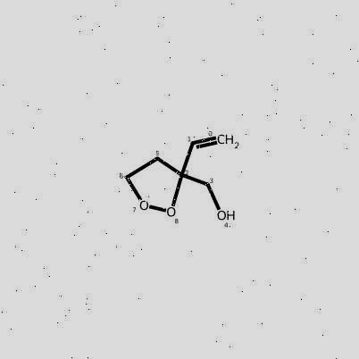 C=CC1(CO)CCOO1